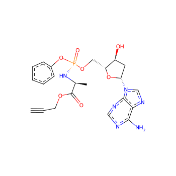 C#CCOC(=O)[C@H](C)N[P@](=O)(OC[C@H]1O[C@@H](n2cnc3c(N)ncnc32)C[C@@H]1O)Oc1ccccc1